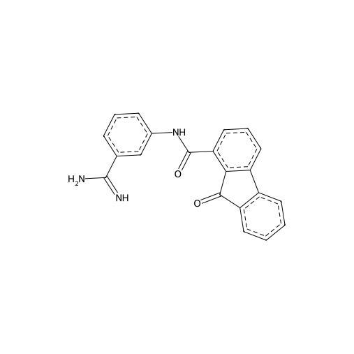 N=C(N)c1cccc(NC(=O)c2cccc3c2C(=O)c2ccccc2-3)c1